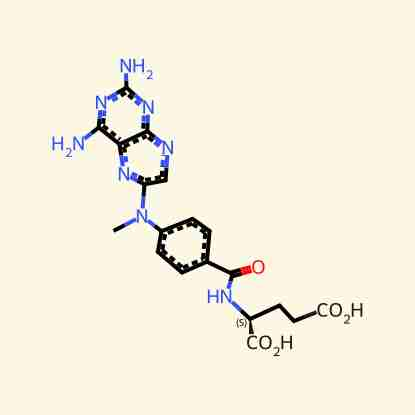 CN(c1ccc(C(=O)N[C@@H](CCC(=O)O)C(=O)O)cc1)c1cnc2nc(N)nc(N)c2n1